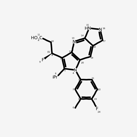 Cc1cc(-n2c(C(C)C)c([C@@H](F)CC(=O)O)c3nc4[nH]ncc4cc32)ccc1F